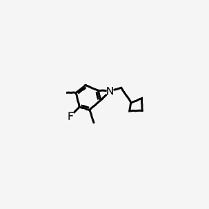 Cc1cc2c(c(C)c1F)N2CC1CCC1